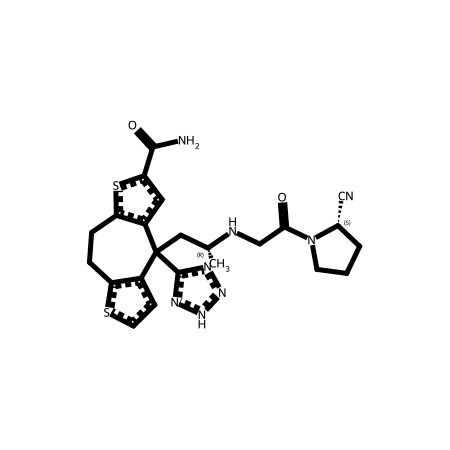 C[C@H](CC1(c2nn[nH]n2)c2ccsc2CCc2sc(C(N)=O)cc21)NCC(=O)N1CCC[C@H]1C#N